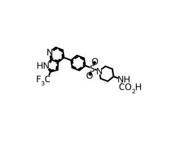 O=C(O)NC1CCN(S(=O)(=O)c2ccc(-c3ccnc4[nH]c(C(F)(F)F)cc34)cc2)CC1